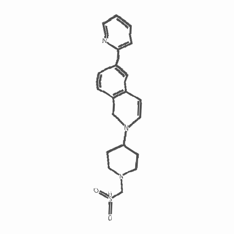 O=[SH](=O)CN1CCC(N2C=Cc3cc(-c4ccccn4)ccc3C2)CC1